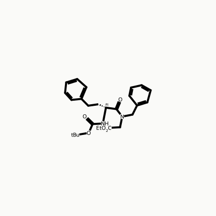 CCOC(=O)CN(Cc1ccccc1)C(=O)[C@@H](CCc1ccccc1)NC(=O)OC(C)(C)C